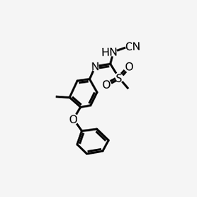 Cc1cc(N=C(NC#N)S(C)(=O)=O)ccc1Oc1ccccc1